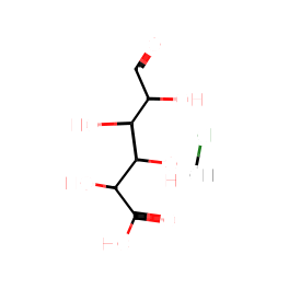 CCl.O=CC(O)C(O)C(O)C(O)C(=O)O